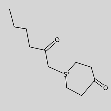 CCCCC(=O)C[S+]1CCC(=O)CC1